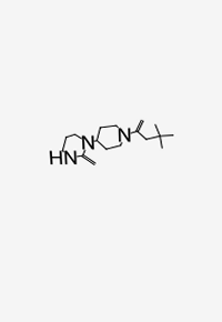 C=C(CC(C)(C)C)N1CCC(N2CCCNC2=C)CC1